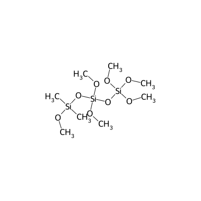 CO[Si](C)(C)O[Si](OC)(OC)O[Si](OC)(OC)OC